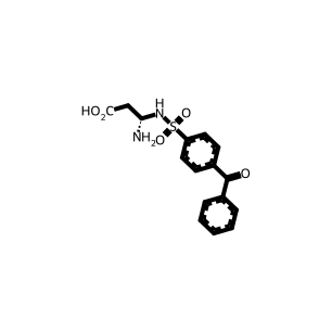 N[C@H](CC(=O)O)NS(=O)(=O)c1ccc(C(=O)c2ccccc2)cc1